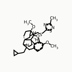 COc1ccc2c3c1O[C@H]1[C@@]4(OC)CC[C@@]5(C[C@@H]4CSc4nc(C)ns4)C(C2)N(CC2CC2)CC[C@]315